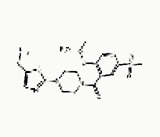 C[C@H](Oc1ccc(S(C)(=O)=O)cc1C(=O)N1CCN(c2ncc(CC(F)(F)F)s2)CC1)C(F)(F)F